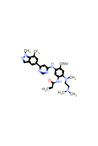 C=CC(=O)Nc1cc(Nc2cc(-c3cc(C(F)(F)F)c4c(cnn4C)c3)ncn2)c(OC)cc1N(C)CCN(C)C